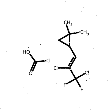 CC1(C)CC1C=C(Cl)C(F)(F)Cl.O=C(O)Cl